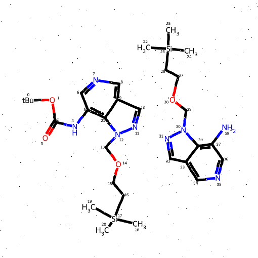 CC(C)(C)OC(=O)Nc1cncc2cnn(COCC[Si](C)(C)C)c12.C[Si](C)(C)CCOCn1ncc2cncc(N)c21